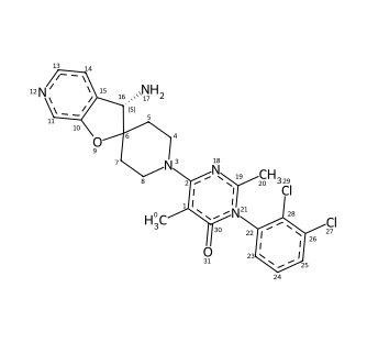 Cc1c(N2CCC3(CC2)Oc2cnccc2[C@@H]3N)nc(C)n(-c2cccc(Cl)c2Cl)c1=O